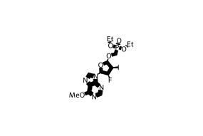 CCOP(=O)(CO[C@H]1O[C@@H](n2cnc3c(OC)ncnc32)[C@@H](F)[C@@H]1I)OCC